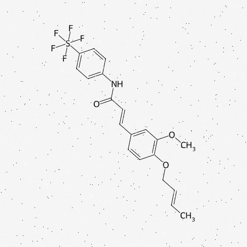 CC=CCOc1ccc(C=CC(=O)Nc2ccc(S(F)(F)(F)(F)F)cc2)cc1OC